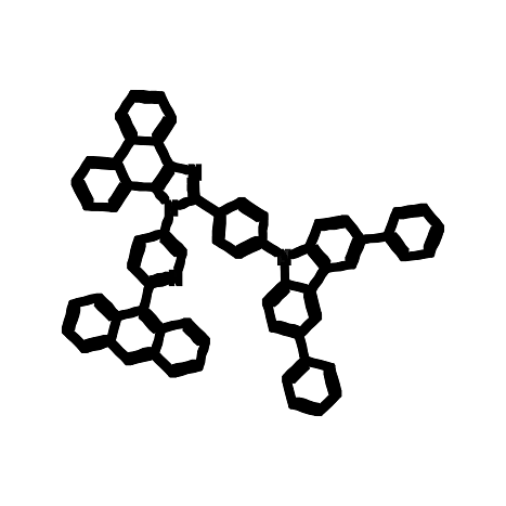 c1ccc(-c2ccc3c(c2)c2cc(-c4ccccc4)ccc2n3-c2ccc(-c3nc4c5ccccc5c5ccccc5c4n3-c3ccc(-c4c5ccccc5cc5ccccc45)nc3)cc2)cc1